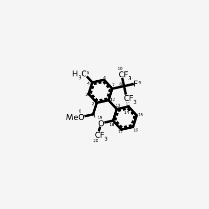 COCc1[c]c(C)cc(C(F)(C(F)(F)F)C(F)(F)F)c1-c1ccccc1OC(F)(F)F